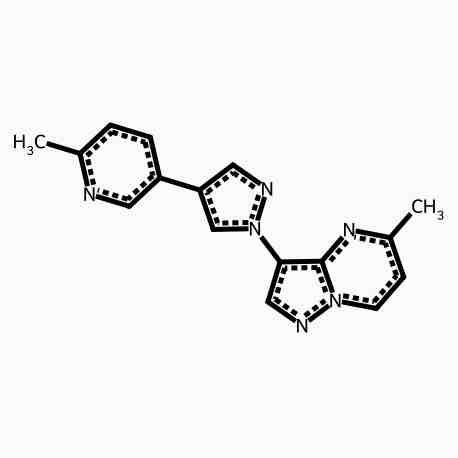 Cc1ccc(-c2cnn(-c3cnn4ccc(C)nc34)c2)cn1